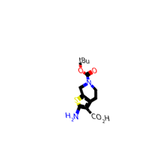 CC(C)(C)OC(=O)N1CCc2c(sc(N)c2C(=O)O)C1